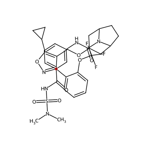 CN(C)S(=O)(=O)NC(=O)c1cccc(NC(=O)N2C3CCC2CC(OCc2c(-c4ccccc4OC(F)(F)F)noc2C2CC2)C3)c1